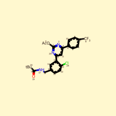 CC(=O)Oc1nc(-c2ccc(C(F)(F)F)cc2)cc(-c2cc(CNC(=O)C(C)(C)C)ccc2Cl)n1